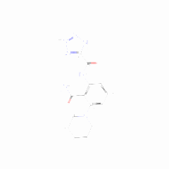 NC(=O)c1c(NC(=O)c2nnn[nH]2)cccc1N1CCCCC1